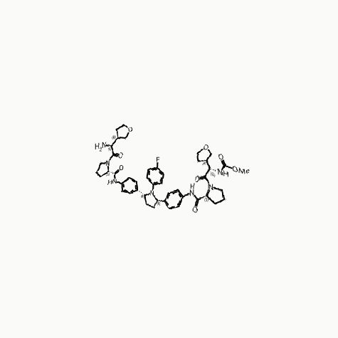 COC(=O)N[C@H](C(=O)N1CCC[C@H]1C(=O)Nc1ccc([C@H]2CC[C@H](c3ccc(NC(=O)[C@@H]4CCCN4C(=O)[C@@H](N)[C@H]4CCOC4)cc3)N2c2ccc(F)cc2)cc1)[C@H]1CCOC1